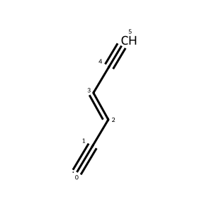 [C]#CC=CC#C